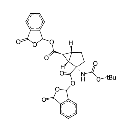 CC(C)(C)OC(=O)N[C@@]1(C(=O)OC2OC(=O)c3ccccc32)CC[C@H]2[C@H](C(=O)OC3OC(=O)c4ccccc43)[C@H]21